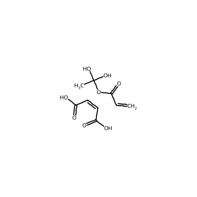 C=CC(=O)OC(C)(O)O.O=C(O)/C=C\C(=O)O